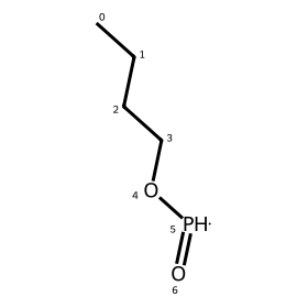 CCCCO[PH]=O